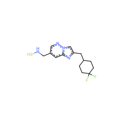 FC1(F)CCC(Cc2cn3ncc(CNS)cc3n2)CC1